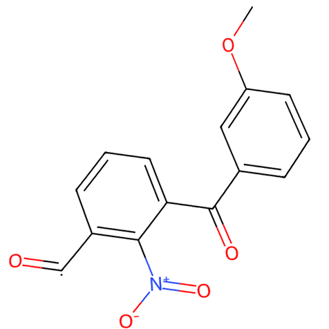 COc1cccc(C(=O)c2cccc([C]=O)c2[N+](=O)[O-])c1